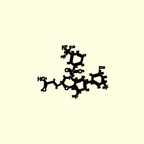 O=C(O)CC[C@H]1CN(S(=O)(=O)c2cccc(C(F)(F)F)c2)c2cc(-c3cc(F)cc(F)c3)cc(F)c2O1